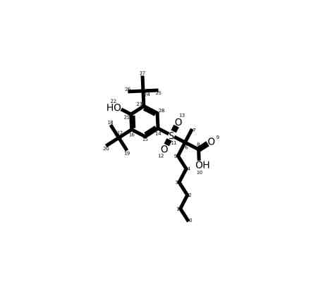 CCCCCCC(C)(C(=O)O)S(=O)(=O)c1cc(C(C)(C)C)c(O)c(C(C)(C)C)c1